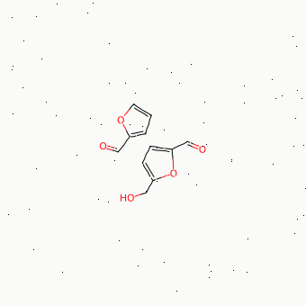 O=Cc1ccc(CO)o1.O=Cc1ccco1